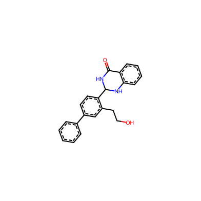 O=C1NC(c2ccc(-c3ccccc3)cc2CCO)Nc2ccccc21